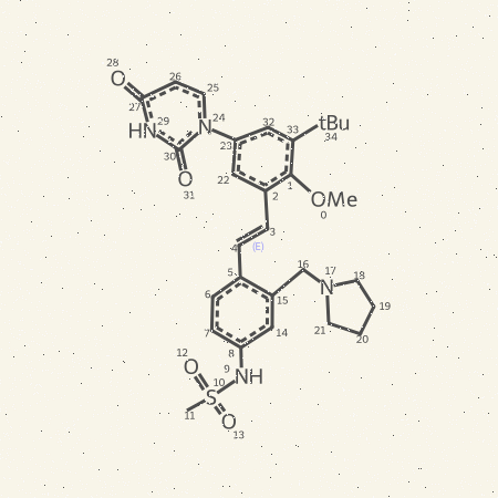 COc1c(/C=C/c2ccc(NS(C)(=O)=O)cc2CN2CCCC2)cc(-n2ccc(=O)[nH]c2=O)cc1C(C)(C)C